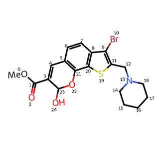 COC(=O)C1=Cc2ccc3c(Br)c(CN4CCCCC4)sc3c2OC1O